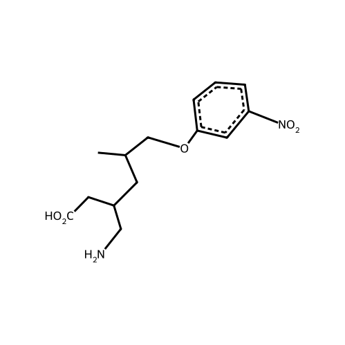 CC(COc1cccc([N+](=O)[O-])c1)CC(CN)CC(=O)O